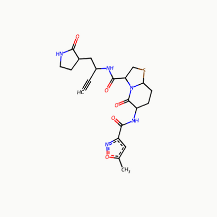 C#CC(CC1CCNC1=O)NC(=O)C1CSC2CCC(NC(=O)c3cc(C)on3)C(=O)N21